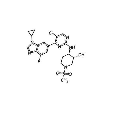 CS(=O)(=O)N1CC[C@@H](Nc2ncc(Cl)c(-c3cc(F)c4ncn(C5CC5)c4c3)n2)[C@H](O)C1